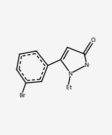 CCN1[N]C(=O)C=C1c1cccc(Br)c1